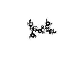 CCc1ncc(N(C)C(=O)[C@H](Cc2cc(F)cc(F)c2)NC(=O)c2ccc(F)c(C(=O)N[C@@H](Cc3cc(F)cc(F)c3)C(=O)N(C)c3cnc(CC)nc3)c2)cn1